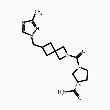 NC(=O)[C@H]1CCN(C(=O)N2CC3(CC(Cn4cnc(C(F)(F)F)n4)C3)C2)C1